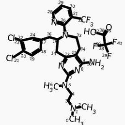 CN(C)CCN(C)c1nc(N)c2c(n1)CC(Cc1ccc(Cl)c(Cl)c1)N(c1ncccc1C(F)(F)F)CC2.O=C(O)C(F)(F)F